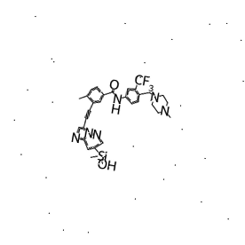 Cc1ccc(C(=O)Nc2ccc(CN3CCN(C)CC3)c(C(F)(F)F)c2)cc1C#Cc1cnc2cc([Si](C)(C)O)cnn12